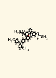 C=CC(=O)Oc1ccc(C(c2ccccc2)(c2ccc(OC(=O)C=C)cc2)C(C)c2ccc(-c3ccc(N(c4ccc(C)cc4)C4C=C(C)C=CC4)cc3)cc2)cc1